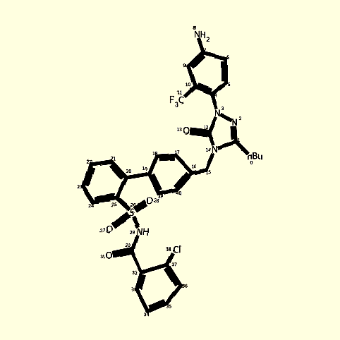 CCCCc1nn(-c2ccc(N)cc2C(F)(F)F)c(=O)n1Cc1ccc(-c2ccccc2S(=O)(=O)NC(=O)c2ccccc2Cl)cc1